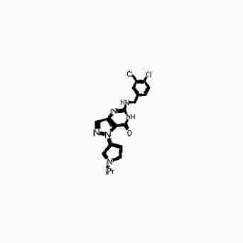 CC(C)N1CCC(n2ncc3nc(NCc4ccc(Cl)c(Cl)c4)[nH]c(=O)c32)C1